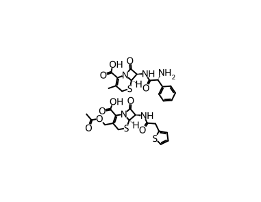 CC(=O)OCC1=C(C(=O)O)N2C(=O)[C@@H](NC(=O)Cc3cccs3)[C@H]2SC1.CC1=C(C(=O)O)N2C(=O)[C@@H](NC(=O)[C@H](N)c3ccccc3)[C@H]2SC1